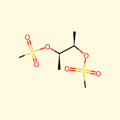 C[C@@H](OS(C)(=O)=O)[C@@H](C)OS(C)(=O)=O